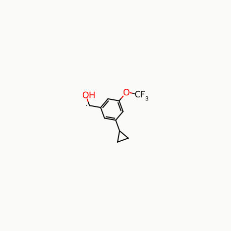 O[CH]c1cc(OC(F)(F)F)cc(C2CC2)c1